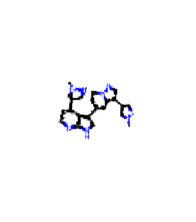 Cn1cc(-c2ccnc3[nH]cc(-c4ccn5ncc(-c6cnn(C)c6)c5c4)c23)cn1